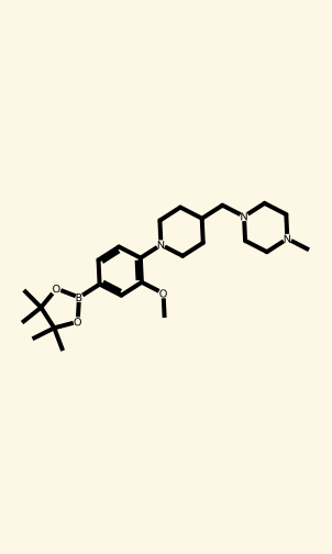 COc1cc(B2OC(C)(C)C(C)(C)O2)ccc1N1CCC(CN2CCN(C)CC2)CC1